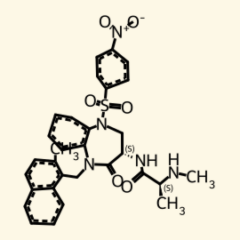 CN[C@@H](C)C(=O)N[C@H]1CN(S(=O)(=O)c2ccc([N+](=O)[O-])cc2)c2ccccc2N(Cc2c(C)ccc3ccccc23)C1=O